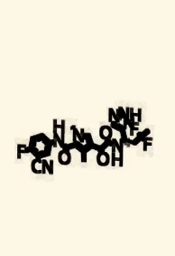 Cc1c(C(=O)C(=O)N[C@H](CC(C)(F)F)c2cn[nH]n2)cn(C)c1C(=O)Nc1ccc(F)c(C#N)c1